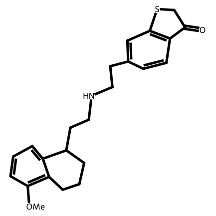 COc1cccc2c1CCCC2CCNCCc1ccc2c(c1)SCC2=O